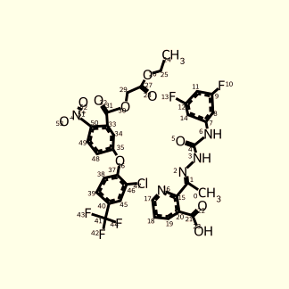 C/C(=N\NC(=O)Nc1cc(F)cc(F)c1)c1ncccc1C(=O)O.CCOC(=O)COC(=O)c1cc(Oc2ccc(C(F)(F)F)cc2Cl)ccc1[N+](=O)[O-]